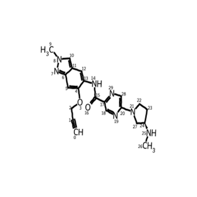 C#CCOc1cc2nn(C)cc2cc1NC(=O)c1cnc(N2CC[C@@H](NC)C2)cn1